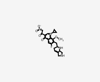 COc1c(CC2CC=C3CNCC3N2)c(F)cc2c(=O)c(C(=O)C[N+](=O)[O-])cn(C3CC3)c12